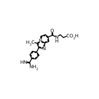 Cc1c(-c2ccc(C(=N)N)cc2)nc2cc(C(=O)NCCC(=O)O)ccn12